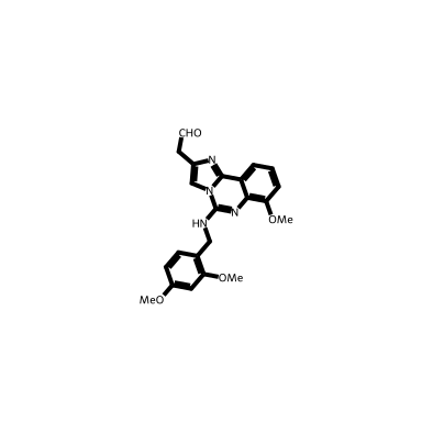 COc1ccc(CNc2nc3c(OC)cccc3c3nc(CC=O)cn23)c(OC)c1